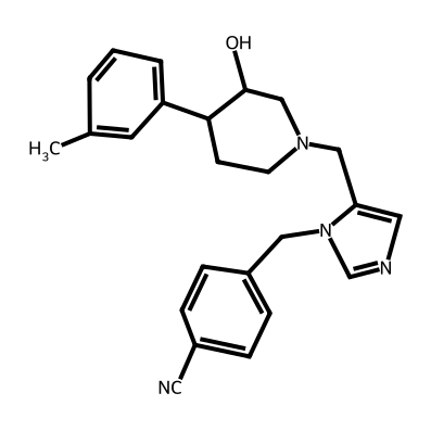 Cc1cccc(C2CCN(Cc3cncn3Cc3ccc(C#N)cc3)CC2O)c1